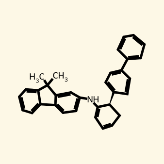 CC1(C)c2ccccc2-c2ccc(NC3=CC=CC[C@@H]3c3ccc(-c4ccccc4)cc3)cc21